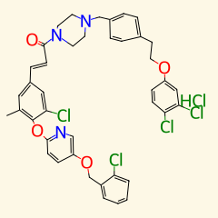 Cc1cc(/C=C/C(=O)N2CCN(Cc3ccc(CCOc4ccc(Cl)c(Cl)c4)cc3)CC2)cc(Cl)c1Oc1ccc(OCc2ccccc2Cl)cn1.Cl